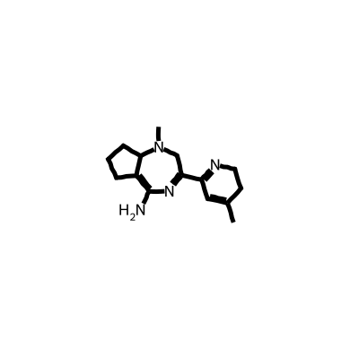 CC1=CC(C2=NC(N)=C3CCCC3N(C)C2)=NCC1